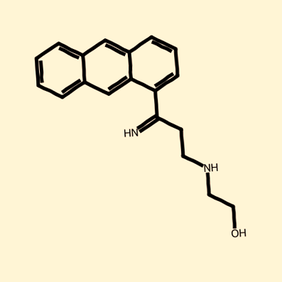 N=C(CCNCCO)c1cccc2cc3ccccc3cc12